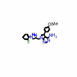 COc1ccc(-c2cn(CC3CN(c4ccccc4F)N=N3)c3ncnc(N)c23)cc1